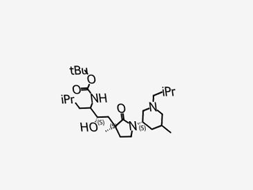 CC(C)CC(NC(=O)OC(C)(C)C)[C@@H](O)C[C@]1(C)CCN([C@H]2CC(C)CN(CC(C)C)C2)C1=O